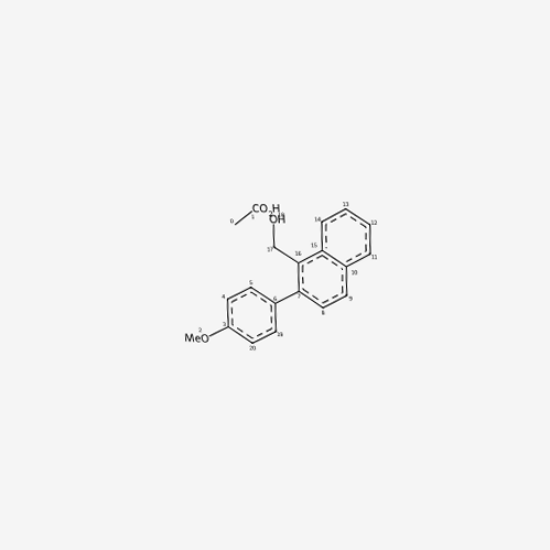 CC(=O)O.COc1ccc(-c2ccc3ccccc3c2CO)cc1